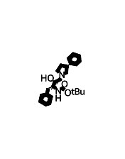 CC(C)(C)OC(=O)N[C@H](Cc1ccccc1)[C@@H](O)CN1CC[C@H](c2ccccc2)C1